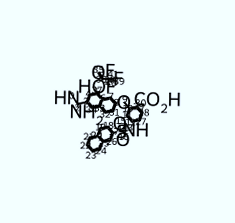 N=C(N)c1ccc2cc(Oc3cc(NS(=O)(=O)c4ccc5ccccc5c4)ccc3C(=O)O)ccc2c1.O=C(O)C(F)(F)F